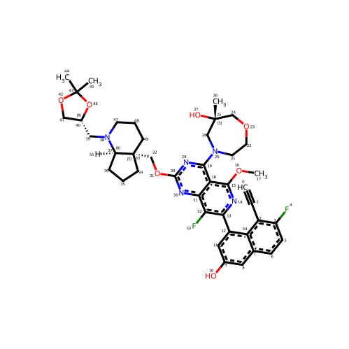 C#Cc1c(F)ccc2cc(O)cc(-c3nc(OC)c4c(N5CCOC[C@@](C)(O)C5)nc(OC[C@]56CCC[C@H]5N(C[C@@H]5COC(C)(C)O5)CCC6)nc4c3F)c12